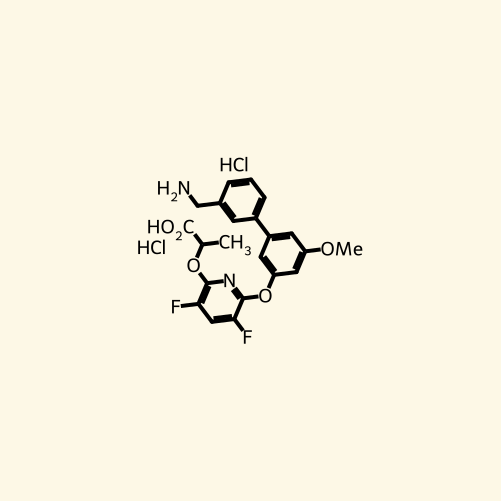 COc1cc(Oc2nc(OC(C)C(=O)O)c(F)cc2F)cc(-c2cccc(CN)c2)c1.Cl.Cl